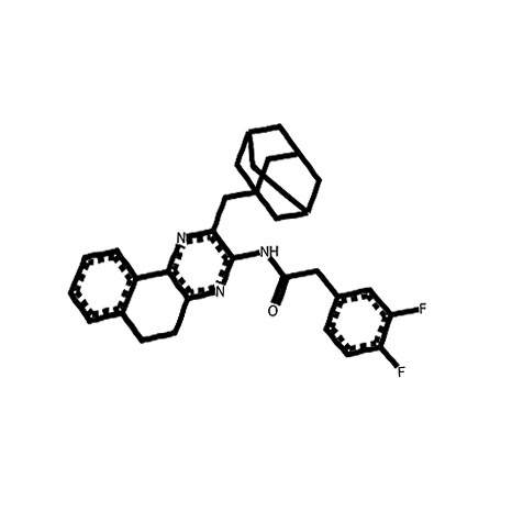 O=C(Cc1ccc(F)c(F)c1)Nc1nc2c(nc1CC13CC4CC(CC(C4)C1)C3)-c1ccccc1CC2